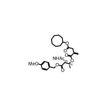 C=C(CC(=O)OC1CCCCCCC1)C(=O)O[C@@H](C)[C@@H](NC(C)=O)C(=O)OCc1ccc(OC)cc1